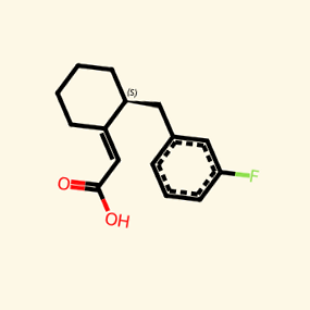 O=C(O)C=C1CCCC[C@H]1Cc1cccc(F)c1